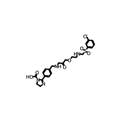 O=C(CNCc1ccc(C2=NCCN2C(=O)O)cc1)COCCNCS(=O)(=O)c1cccc(Cl)c1